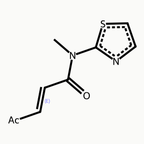 CC(=O)/C=C/C(=O)N(C)c1nccs1